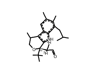 [2H]C([2H])(C=O)[C@@]1(C(C)(C)C)OCC(C)c2c1[nH]c1c(CC(C)C)c(C)c(C)cc21